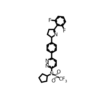 O=S(=O)(N(c1ccc(-c2ccc(C3CCC(c4c(F)cccc4F)=N3)cc2)nn1)C1CCCC1)C(F)(F)F